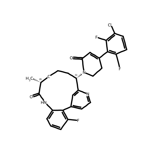 C[C@@H]1CCC[C@H](N2CCC(c3c(F)ccc(Cl)c3F)=CC2=O)c2cc(ccn2)-c2c(F)cccc2NC1=O